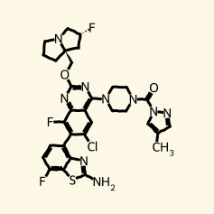 Cc1cnn(C(=O)N2CCN(c3nc(OC[C@@]45CCCN4C[C@H](F)C5)nc4c(F)c(-c5ccc(F)c6sc(N)nc56)c(Cl)cc34)CC2)c1